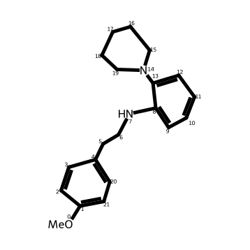 COc1ccc(CCNc2ccccc2N2CCCCC2)cc1